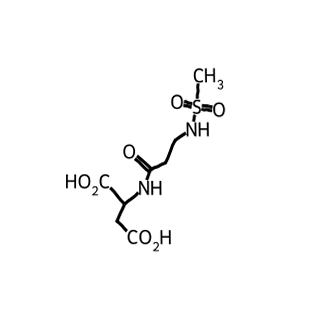 CS(=O)(=O)NCCC(=O)NC(CC(=O)O)C(=O)O